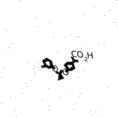 Cc1cccc(OCC2(COc3ccc(C(C)CC(=O)O)cc3)CC2)c1